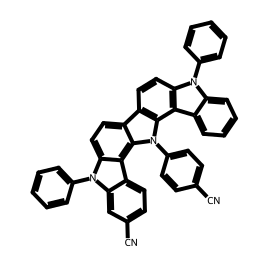 N#Cc1ccc(-n2c3c(ccc4c3c3ccccc3n4-c3ccccc3)c3ccc4c(c5ccc(C#N)cc5n4-c4ccccc4)c32)cc1